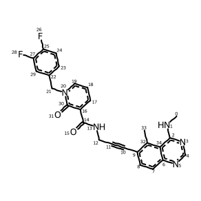 CNc1ncnc2ccc(C#CCNC(=O)c3cccn(Cc4ccc(F)c(F)c4)c3=O)c(C)c12